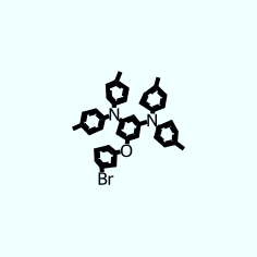 Cc1ccc(N(c2ccc(C)cc2)c2cc(Oc3cccc(Br)c3)cc(N(c3ccc(C)cc3)c3ccc(C)cc3)c2)cc1